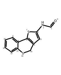 O=CNc1cc2c(s1)-c1ccccc1SC2